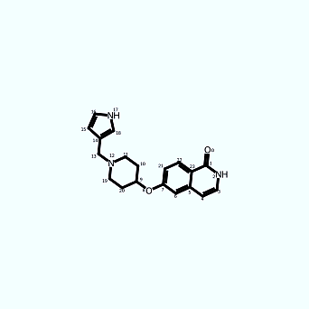 O=c1[nH]ccc2cc(OC3CCN(Cc4cc[nH]c4)CC3)ccc12